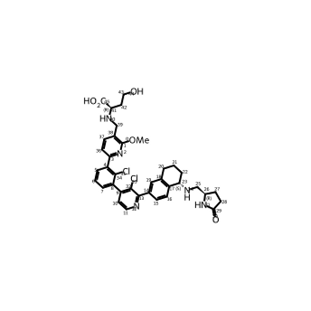 COc1nc(-c2cccc(-c3ccnc(-c4ccc5c(c4)CCC[C@@H]5NC[C@H]4CCC(=O)N4)c3Cl)c2Cl)ccc1CN[C@H](CCO)C(=O)O